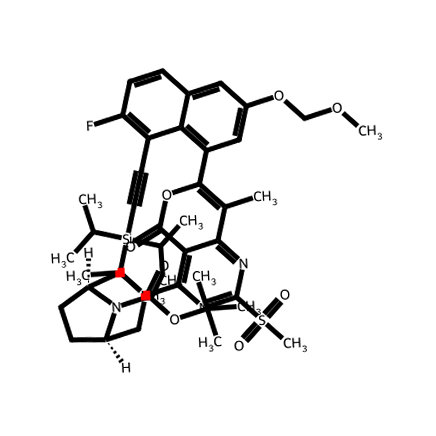 COCOc1cc(-c2oc(=O)c3c(N4C[C@H]5CC[C@@H](C4)N5C(=O)OC(C)(C)C)nc(S(C)(=O)=O)nc3c2C)c2c(C#C[Si](C(C)C)(C(C)C)C(C)C)c(F)ccc2c1